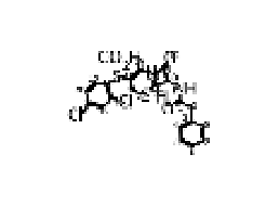 O=C(Cc1ccccc1)N[C@@H]1C(=O)N2C(C(=O)O)=C(Sc3ccc(Cl)cc3Cl)CS[C@@H]12